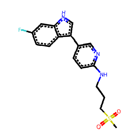 CS(=O)(=O)CCCNc1ccc(-c2c[nH]c3cc(F)ccc23)cn1